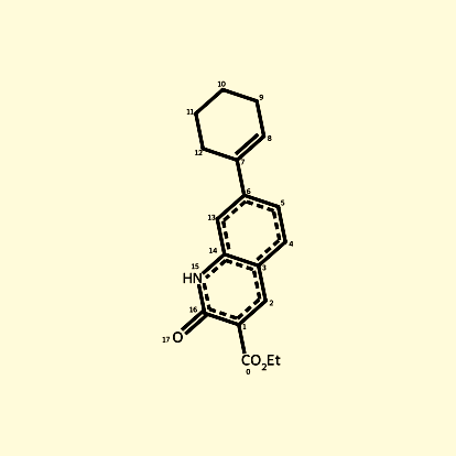 CCOC(=O)c1cc2ccc(C3=CCCCC3)cc2[nH]c1=O